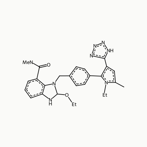 CCOC1Nc2cccc(C(=O)NC)c2N1Cc1ccc(-c2c(-c3nnn[nH]3)cc(C)n2CC)cc1